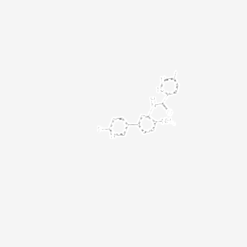 Cc1ccc(C(=O)Nc2cc(-c3ccc(F)nc3)ccc2N)nn1